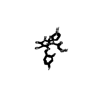 CC(=O)OCC(=O)N[C@@]1(C2(C(C)C)NC(=O)C(Cl)=C(OCc3ccc(F)cc3F)N2)CCNC1